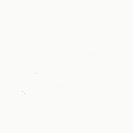 CC(C)(C)N1CCN(c2cnc(N)cn2)CC1